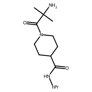 CCCNC(=O)C1CCN(C(=O)C(C)(C)N)CC1